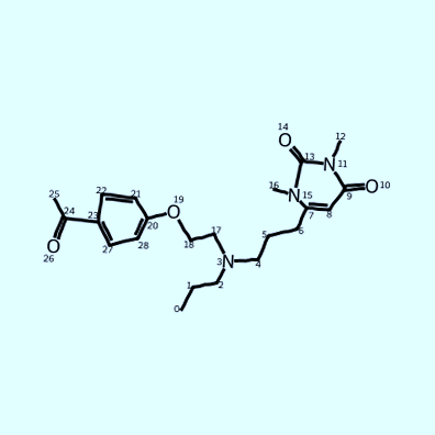 CCCN(CCCc1cc(=O)n(C)c(=O)n1C)CCOc1ccc(C(C)=O)cc1